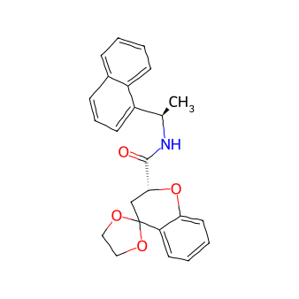 C[C@@H](NC(=O)[C@H]1CC2(OCCO2)c2ccccc2O1)c1cccc2ccccc12